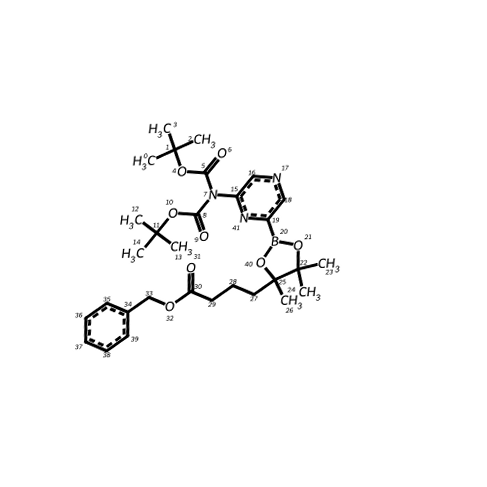 CC(C)(C)OC(=O)N(C(=O)OC(C)(C)C)c1cncc(B2OC(C)(C)C(C)(CCCC(=O)OCc3ccccc3)O2)n1